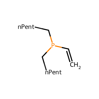 C=CP(CCCCCC)CCCCCC